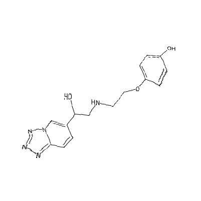 Oc1ccc(OCCNCC(O)c2ccc3nnnn3c2)cc1